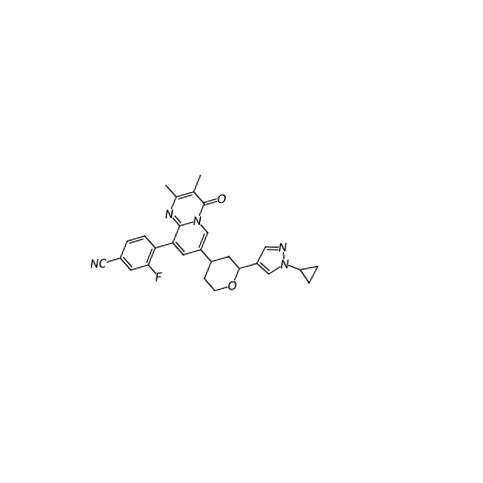 Cc1nc2c(-c3ccc(C#N)cc3F)cc(C3CCOC(c4cnn(C5CC5)c4)C3)cn2c(=O)c1C